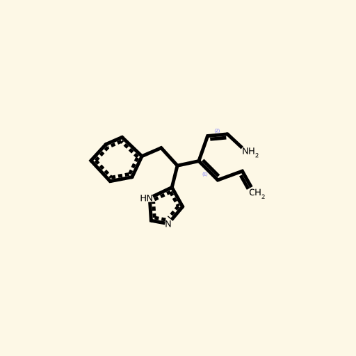 C=C/C=C(\C=C/N)C(Cc1ccccc1)c1cnc[nH]1